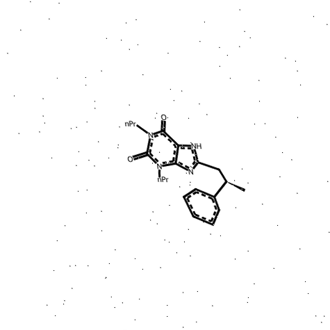 CCCn1c(=O)c2[nH]c(C[C@@H](C)c3ccccc3)nc2n(CCC)c1=O